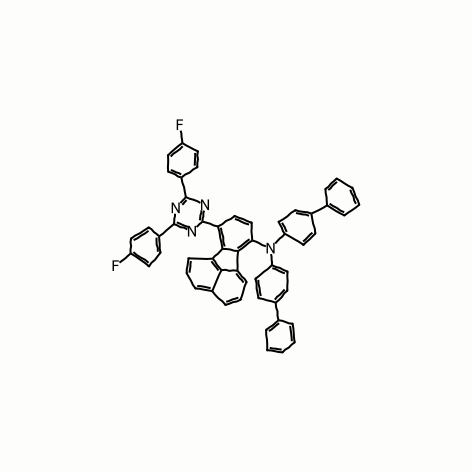 Fc1ccc(-c2nc(-c3ccc(F)cc3)nc(-c3ccc(N(c4ccc(-c5ccccc5)cc4)c4ccc(-c5ccccc5)cc4)c4c3-c3cccc5cccc-4c35)n2)cc1